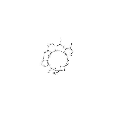 C[C@]12C[C@H](C1)Oc1ccc(F)cc1CN1c3nc4c(cnn4cc3OC[C@H]1C(F)F)C(=O)N2